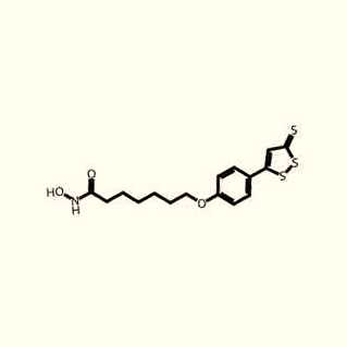 O=C(CCCCCCOc1ccc(-c2cc(=S)ss2)cc1)NO